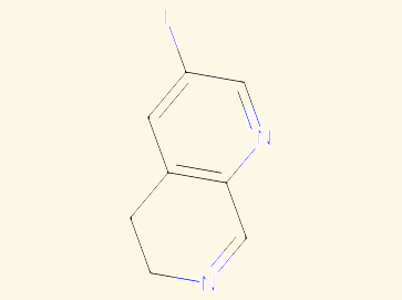 Ic1cnc2c(c1)CCN=C2